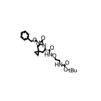 CC(C)(C)OC(=O)NCCONC(=O)[C@@H]1CC2(CC2)C2CN1C(=O)N2OCc1ccccc1